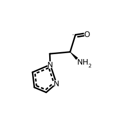 N[C@H]([C]=O)Cn1cccn1